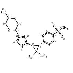 CC1(C)[C@@H](c2ccc(S(N)(=O)=O)cc2)[C@@H]1c1noc(C2CCC(O)CC2)n1